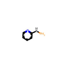 PBc1ccccn1